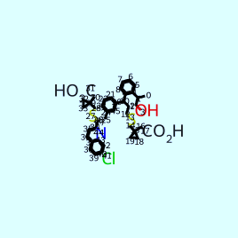 CC(CO)c1ccccc1C(CCSCC1(CC(=O)O)CC1)c1cccc(C[C@@H](SCC2(CC(=O)O)CC2)c2ccc3ccc(Cl)cc3n2)c1